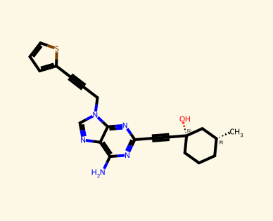 C[C@@H]1CCC[C@@](O)(C#Cc2nc(N)c3ncn(CC#Cc4cccs4)c3n2)C1